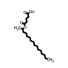 CCCCCCCCCCCCCCC(C)OC(=O)CCCC(=O)O